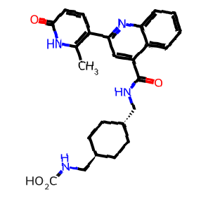 Cc1[nH]c(=O)ccc1-c1cc(C(=O)NC[C@H]2CC[C@H](CNC(=O)O)CC2)c2ccccc2n1